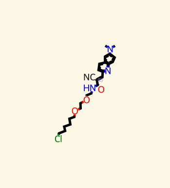 CN(C)c1ccc2nc(/C=C(\C#N)C(=O)NCCOCCOCCCCCCCl)ccc2c1